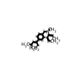 C=C(C)/C=C(\CC)c1ccc(CN(C)C(/C=C\C)=C/C)cc1